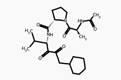 CC(=O)N[C@@H](C)C(=O)N1CCC[C@H]1C(=O)N[C@H](C(=O)C(=O)CC1CCCCC1)C(C)C